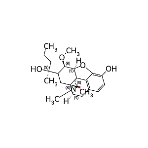 CCC[C@](C)(O)C1C[C@@]2(CC)[C@@H]3Cc4ccc(O)c5c4[C@]2(CCN3C)[C@H](O5)[C@@H]1OC